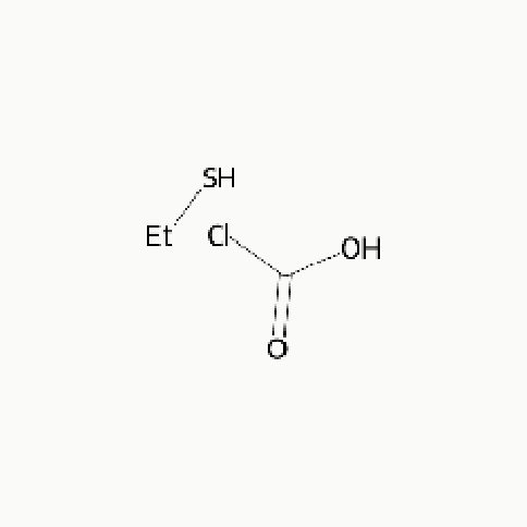 CCS.O=C(O)Cl